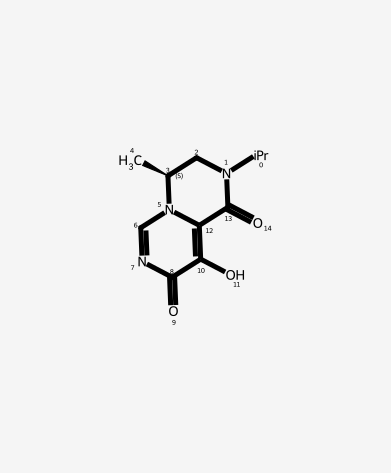 CC(C)N1C[C@H](C)n2cnc(=O)c(O)c2C1=O